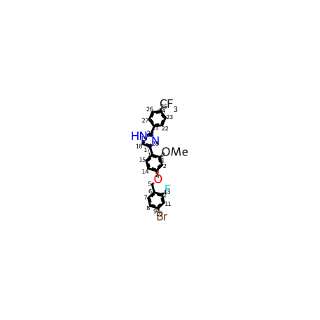 COc1cc(OCc2ccc(Br)cc2F)ccc1-c1c[nH]c(-c2ccc(C(F)(F)F)cc2)n1